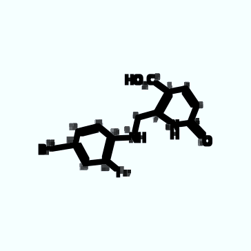 O=C(O)c1ccc(=O)[nH]c1CNc1ccc(Br)cc1F